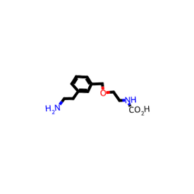 NCCc1cccc(COCCNC(=O)O)c1